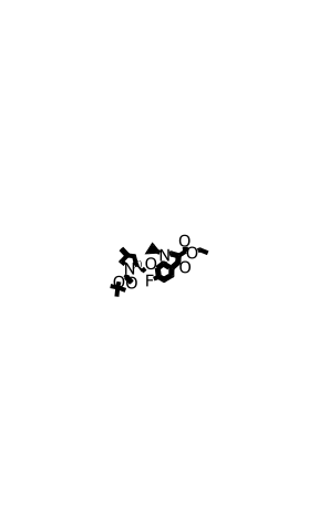 C=C1C[C@@H](COc2c(F)ccc3c(=O)c(C(=O)OCC)cn(C4CC4)c23)N(C(=O)OC(C)(C)C)C1